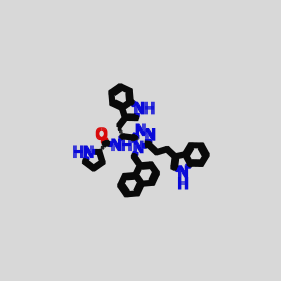 O=C(N[C@H](Cc1c[nH]c2ccccc12)c1nnc(CCc2c[nH]c3ccccc23)n1Cc1cccc2ccccc12)[C@@H]1CCCN1